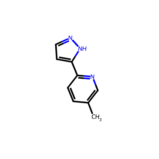 Cc1ccc(-c2ccn[nH]2)nc1